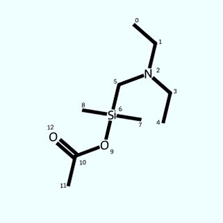 CCN(CC)C[Si](C)(C)OC(C)=O